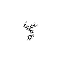 CC(=O)N1CC[C@H](n2c(NC(=O)c3cccc(C#N)c3)nc3cc(C(=O)N4CCCCC4)cnc32)C1